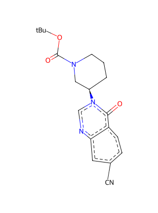 CC(C)(C)OC(=O)N1CCC[C@@H](n2cnc3cc(C#N)ccc3c2=O)C1